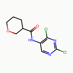 O=C(Nc1cnc(Cl)nc1Cl)C1CCCOC1